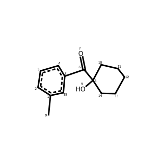 Cc1cccc(C(=O)C2(O)CCCCC2)c1